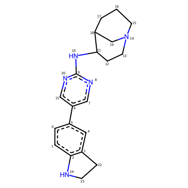 c1cc2c(cc1-c1cnc(NC3CCN4CCCC3C4)nc1)CCN2